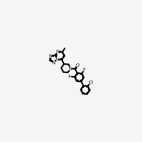 Cc1cc(C2CCCN(C(=O)c3c(F)cc(-c4ccccc4Cl)cc3F)C2)n2ncnc2n1